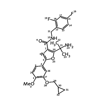 COc1ccc(-c2nc(C(=O)NCc3ccc(F)cc3F)c(C(C)(C)N)o2)cc1OCC1CC1